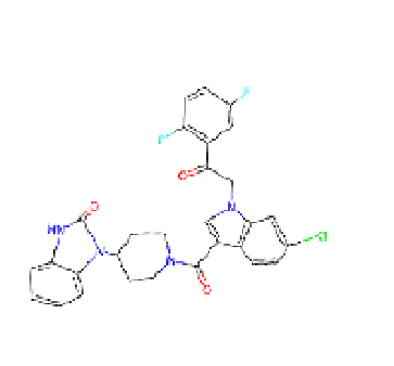 O=C(Cn1cc(C(=O)N2CCC(n3c(=O)[nH]c4ccccc43)CC2)c2ccc(Cl)cc21)c1cc(F)ccc1F